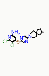 C[C@H]1CCC2(CCN(c3cnc(Sc4cc(N)nc(Cl)c4Cl)cn3)CC2)C1